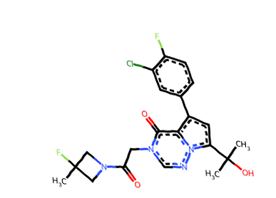 CC1(F)CN(C(=O)Cn2cnn3c(C(C)(C)O)cc(-c4ccc(F)c(Cl)c4)c3c2=O)C1